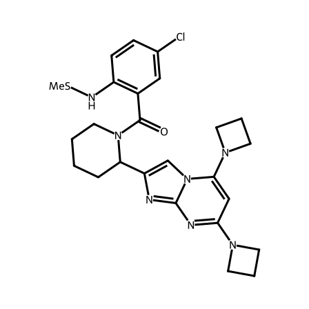 CSNc1ccc(Cl)cc1C(=O)N1CCCCC1c1cn2c(N3CCC3)cc(N3CCC3)nc2n1